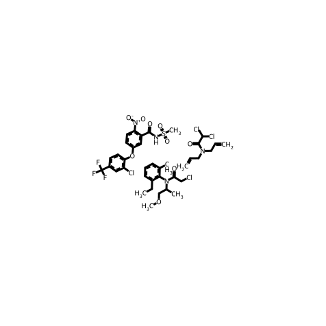 C=CCN(CC=C)C(=O)C(Cl)Cl.CCc1cccc(C)c1N(C(=O)CCl)C(C)COC.CS(=O)(=O)NC(=O)c1cc(Oc2ccc(C(F)(F)F)cc2Cl)ccc1[N+](=O)[O-]